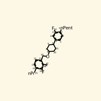 CCCCCc1ccc(C2CCC(OCc3ccc(CCC)c(F)c3F)CC2)cc1F